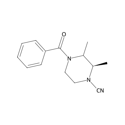 CC1[C@@H](C)N(C#N)CCN1C(=O)c1ccccc1